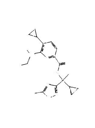 Cc1nc(C(C)(NC(=O)c2ccc(C3CC3)c([S+]([O-])CC(C)C)n2)C2CC2)no1